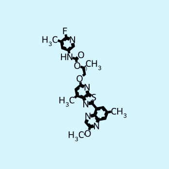 COc1cnc2c(-c3nc4c(C)cc(OC[C@@H](C)OC(=O)Nc5cnc(F)c(C)c5)nc4s3)cc(C)cc2n1